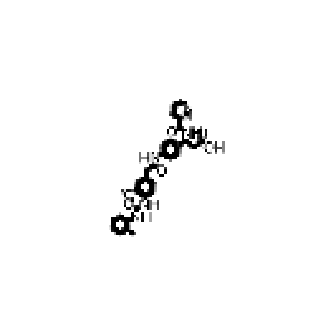 COc1cc(CC(=O)Nc2ccc(C(CC(=O)O)NC(=O)c3cccnn3)cc2)ccc1NC(=O)Nc1ccccc1C